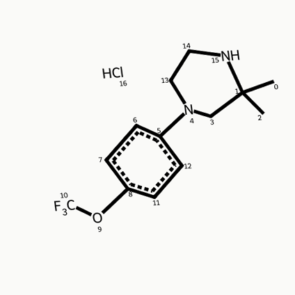 CC1(C)CN(c2ccc(OC(F)(F)F)cc2)CCN1.Cl